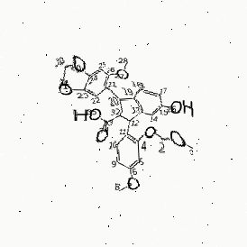 COCOc1cc(OC)ccc1C1c2cc(O)ccc2C(c2cc3c(cc2OC)OCO3)C1C(=O)O